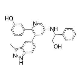 Cc1n[nH]c2ccc(-c3cc(NC(CO)c4ccccc4)cnc3-c3cccc(O)c3)cc12